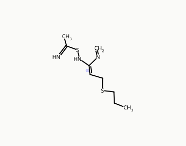 C=N/C(=C\CSCCC)NSC(C)=N